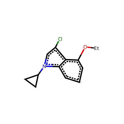 CCOc1c[c]cc2c1c(Cl)cn2C1CC1